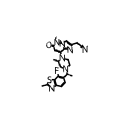 Cc1nc2ccc(C(C)N3CCN(c4cc(=O)n(C)n5cc(CC#N)nc45)C(C)C3)c(F)c2s1